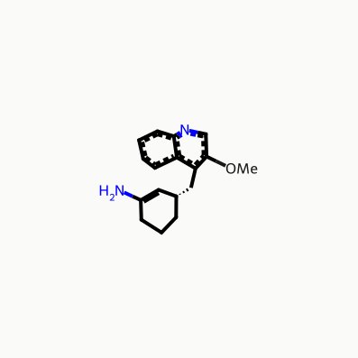 COc1cnc2ccccc2c1C[C@H]1C=C(N)CCC1